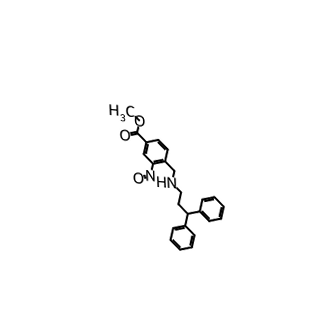 COC(=O)c1ccc(CNCCC(c2ccccc2)c2ccccc2)c(N=O)c1